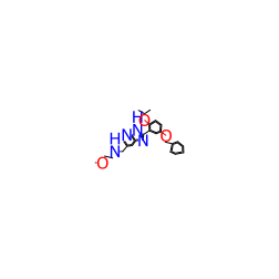 COCCNCc1cnc2[nH]c(-c3cc(OCc4ccccc4)ccc3OC(C)C)nc2c1